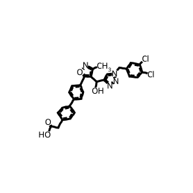 Cc1noc(-c2ccc(-c3ccc(CC(=O)O)cc3)cc2)c1C(O)c1cn(Cc2ccc(Cl)c(Cl)c2)nn1